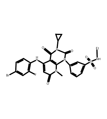 CCNS(=O)(=O)c1cccc(-n2c(=O)n(C3CC3)c(=O)c3c(Nc4ccc(Br)cc4F)cc(=O)n(C)c32)c1